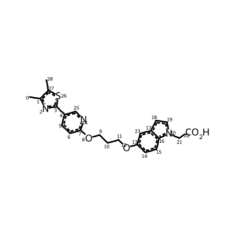 Cc1nc(-c2ccc(OCCCOc3ccc4c(ccn4CC(=O)O)c3)nc2)sc1C